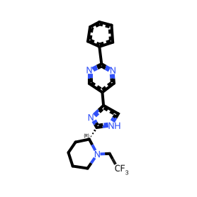 FC(F)(F)CN1CCCC[C@@H]1c1nc(-c2cnc(-c3ccccc3)nc2)c[nH]1